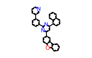 c1cncc(-c2cccc(-c3nc(-c4ccc5oc6ccccc6c5c4)cc(-c4cccc5ccccc45)n3)c2)c1